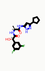 C[C@H](NC(=O)[C@@H](O)c1cc(F)cc(F)c1)C(=O)Nc1cc(C2CCCC2)n[nH]1